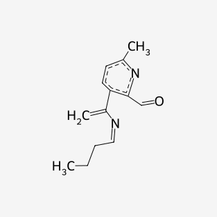 C=C(/N=C\CCC)c1ccc(C)nc1C=O